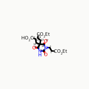 CCOC(=O)CCN1C(=O)NC(=O)C(CCC(=O)O)(CCC(=O)OCC)C1=O